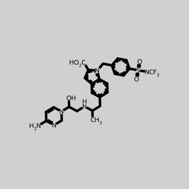 CC(Cc1ccc2c(c1)cc(C(=O)O)n2Cc1ccc(S(=O)(=O)NC(F)(F)F)cc1)NCC(O)N1C=CC(N)=NC1